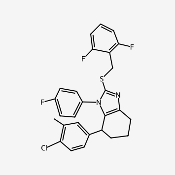 Cc1cc(C2CCCc3nc(SCc4c(F)cccc4F)n(-c4ccc(F)cc4)c32)ccc1Cl